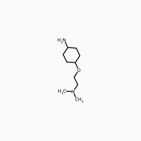 CN(C)CCOC1CCC(N)CC1